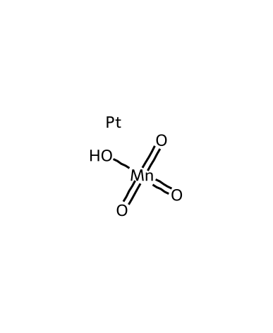 [O]=[Mn](=[O])(=[O])[OH].[Pt]